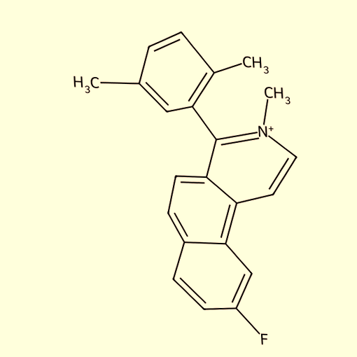 Cc1ccc(C)c(-c2c3ccc4ccc(F)cc4c3cc[n+]2C)c1